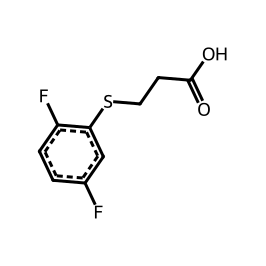 O=C(O)CCSc1cc(F)ccc1F